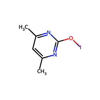 Cc1cc(C)nc(OI)n1